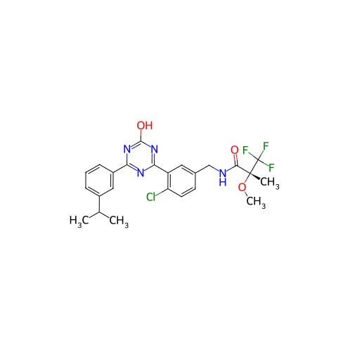 CO[C@](C)(C(=O)NCc1ccc(Cl)c(-c2nc(O)nc(-c3cccc(C(C)C)c3)n2)c1)C(F)(F)F